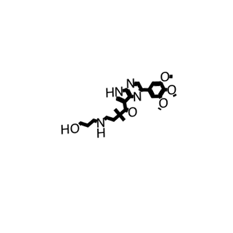 COc1cc(-c2cnc3[nH]cc(C(=O)C(C)(C)CCNCCCO)c3n2)cc(OC)c1OC